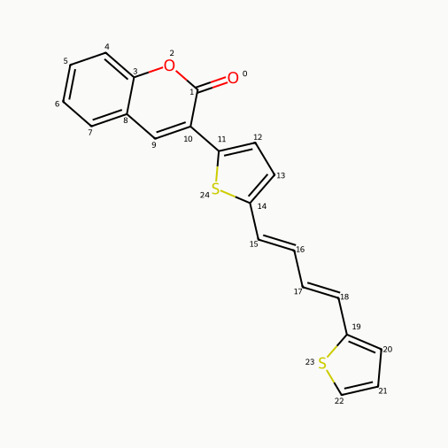 O=c1oc2ccccc2cc1-c1ccc(/C=C/C=C/c2cccs2)s1